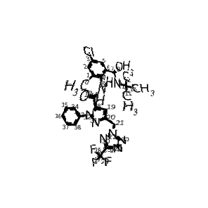 Cc1cc(Cl)cc(C(=O)NC(C)(C)C)c1NC(=O)c1cc(Cn2nnc(C(F)(F)F)n2)nn1-c1ccccc1